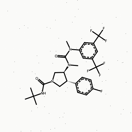 CN(C(=O)N(C)[C@@H]1CN(C(=O)NC(C)(C)C)C[C@H]1c1ccc(F)cc1)c1cc(C(F)(F)F)cc(C(F)(F)F)c1